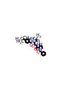 CC(C)C[C@H](NC(=O)c1ccc(C(C)(C)C)cc1)C(=O)C1N[C@H]2CCN(C(=O)c3ccccc3)[C@H]2C1=O